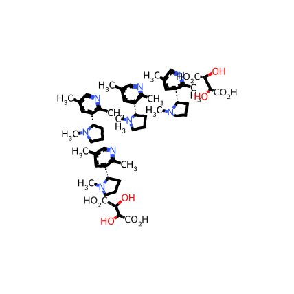 Cc1cnc(C)c([C@@H]2CCCN2C)c1.Cc1cnc(C)c([C@@H]2CCCN2C)c1.Cc1cnc(C)c([C@@H]2CCCN2C)c1.Cc1cnc(C)c([C@@H]2CCCN2C)c1.O=C(O)C(O)C(O)C(=O)O.O=C(O)C(O)C(O)C(=O)O